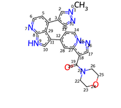 Cn1cc(-c2ccnc3[nH]cc(-c4ccn5ncc(C(=O)N6CCOCC6)c5c4)c23)cn1